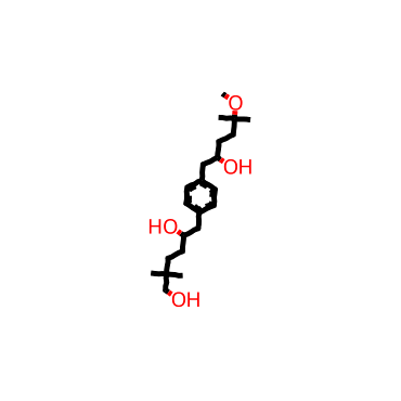 COC(C)(C)CCC(O)Cc1ccc(CC(O)CCC(C)(C)CO)cc1